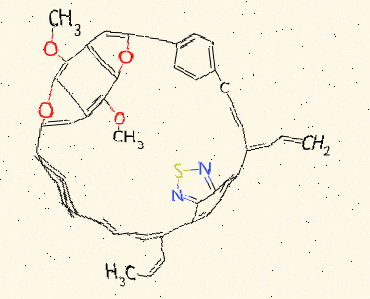 C=C/C=C1\C=C/Cc2ccc(cc2)-c2cc3c(OC)c4oc(cc4c(OC)c3o2)-c2ccc(cc2)\C=C/C=C(\C=C/C)c2ccc1c1nsnc21